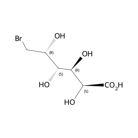 O=C(O)[C@@H](O)[C@H](O)[C@H](O)[C@@H](O)CBr